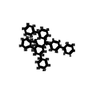 c1ccc(-c2ccc(N(c3cccc(-c4ccccc4)c3)c3cc(-c4ccccc4)cc4c3sc3ccccc34)cc2)cc1